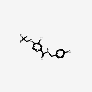 O=C(NCc1ccc(Cl)cc1)c1cc(Cl)c(OCC(F)(F)F)cn1